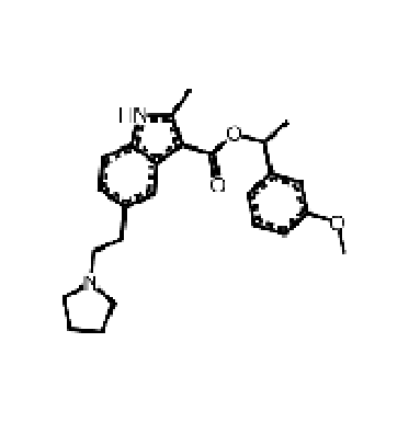 COc1cccc(C(C)OC(=O)c2c(C)[nH]c3ccc(CCN4CCCC4)cc23)c1